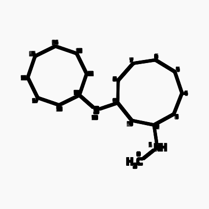 CNC1CCCCCCC(SC2CCCCCCC2)C1